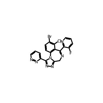 Fc1cccnc1C1=NCc2nnc(-c3cccnn3)n2-c2ccc(Br)c(Cl)c21